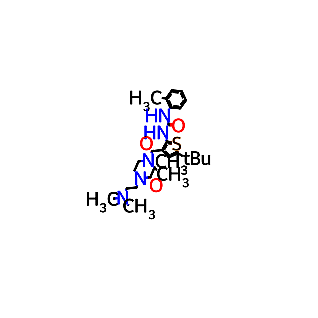 Cc1ccccc1NC(=O)Nc1sc(C(C)(C)C)cc1C(=O)N1CCN(CCN(C)C)C(=O)C1(C)C